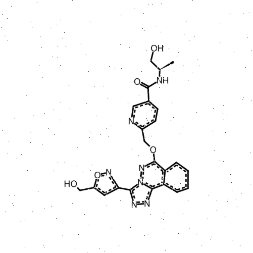 C[C@H](CO)NC(=O)c1ccc(COc2nn3c(-c4cc(CO)on4)nnc3c3ccccc23)nc1